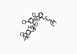 CCN(CC)CCSCc1cccc(C(=O)Nc2ccc(Cl)cc2C(=O)N/N=C\c2ccc(Cl)c(C(F)(F)F)c2)c1